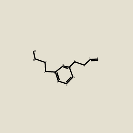 C=CCCc1cccc(CCCC)c1